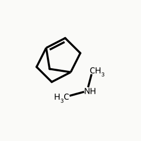 C1=C2CCC(C1)C2.CNC